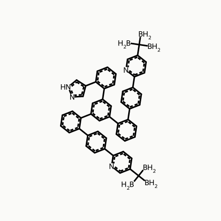 BC(B)(B)c1ccc(-c2ccc(-c3ccccc3-c3cc(-c4ccccc4-c4ccc(-c5ccc(C(B)(B)B)cn5)cc4)cc(-c4ccccc4-c4cn[nH]c4)c3)cc2)nc1